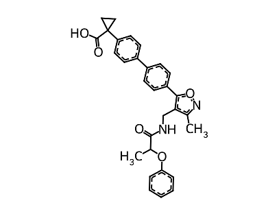 Cc1noc(-c2ccc(-c3ccc(C4(C(=O)O)CC4)cc3)cc2)c1CNC(=O)C(C)Oc1ccccc1